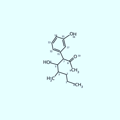 CCCC(C)C(O)C(C(C)=O)c1cccc(O)c1